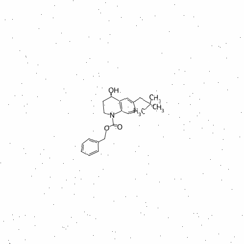 CC(C)(C)Cc1ccc2c(c1)[C@H](O)CCN2C(=O)OCc1ccccc1